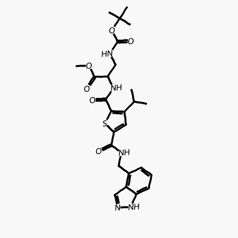 COC(=O)C(CNC(=O)OC(C)(C)C)NC(=O)c1sc(C(=O)NCc2cccc3[nH]ncc23)cc1C(C)C